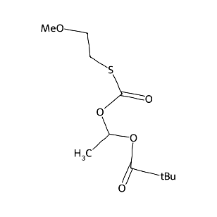 COCCSC(=O)OC(C)OC(=O)C(C)(C)C